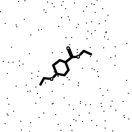 CCOC(=O)C1CCC(OCC)CC1